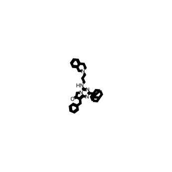 O=C1CN2C(NCCCN3CCc4ccccc4C3)=NC(C34CC5CC(CC(C5)C3)C4)=NC2=C1Cc1ccccc1